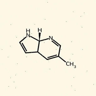 CC1=CC2C=CN[C@@H]2N=C1